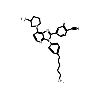 CCCCCCc1ccc(-n2c(-c3ccc(C#N)c(F)c3)nc3c(N4CCCC(N)C4)ccnc32)cc1